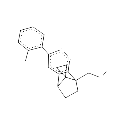 COCC12CCC(c3cc(-c4ccccc4F)nnc31)C21CC1